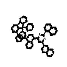 c1ccc(C2(c3ccccc3)c3ccccc3-c3cccc(-c4cccc(-c5ccc(-c6cc(-c7ccc8ccccc8c7)nc(-c7cccc8ccccc78)n6)c6ccccc56)c4)c32)cc1